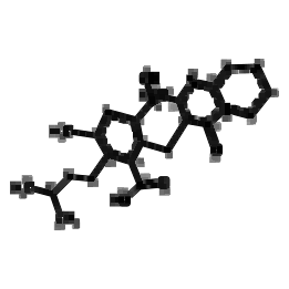 Cc1cc(C(=O)O)c(Cc2c(O)nc3ccccn3c2=O)c(C(=O)O)c1CCC(C)C